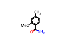 COc1cc(C)ccc1C(N)=O